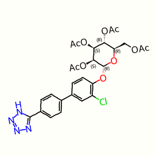 CC(=O)OC[C@H]1O[C@H](Oc2ccc(-c3ccc(-c4nnn[nH]4)cc3)cc2Cl)[C@@H](OC(C)=O)[C@@H](OC(C)=O)[C@@H]1OC(C)=O